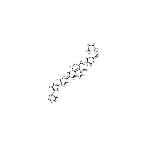 c1ccc(-c2nnc(-c3ccc(-c4cc5ccc6cc(-c7ccc8oc9ccccc9c8c7)cc7ccc(c4)c5c67)cc3)o2)cc1